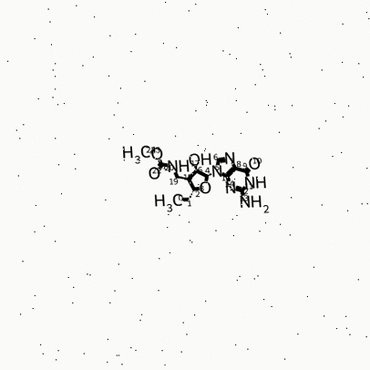 CC[C@H]1O[C@@H](n2cnc3c(=O)[nH]c(N)nc32)[C@H](O)[C@@H]1CNC(=O)OC